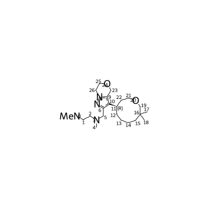 CNCCN(C)Cc1nn2c(c1[C@@H]1CCCCC(C)(C)COCC1)COCC2